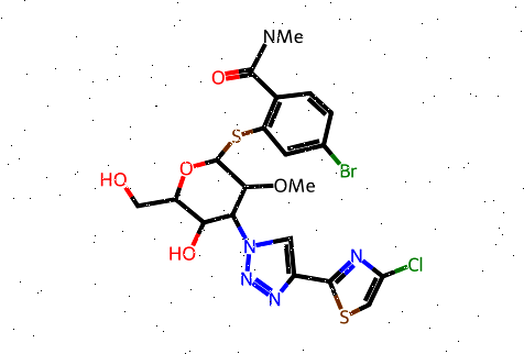 CNC(=O)c1ccc(Br)cc1SC1OC(CO)C(O)C(n2cc(-c3nc(Cl)cs3)nn2)C1OC